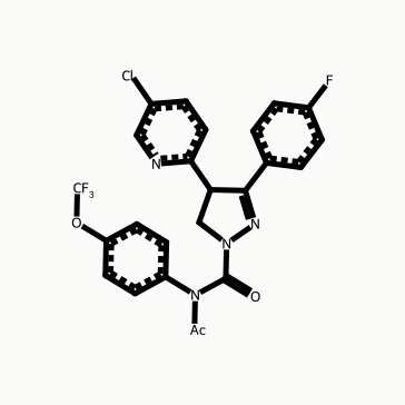 CC(=O)N(C(=O)N1CC(c2ccc(Cl)cn2)C(c2ccc(F)cc2)=N1)c1ccc(OC(F)(F)F)cc1